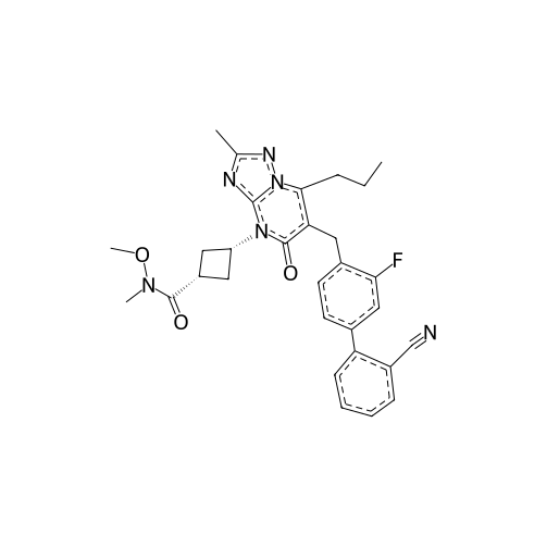 CCCc1c(Cc2ccc(-c3ccccc3C#N)cc2F)c(=O)n([C@H]2C[C@@H](C(=O)N(C)OC)C2)c2nc(C)nn12